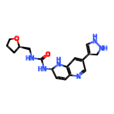 O=C(NC[C@H]1CCCO1)NC1C=Cc2ncc(C3=CNNC3)cc2N1